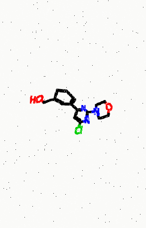 OCc1cccc(-c2cc(Cl)nc(N3CCOCC3)n2)c1